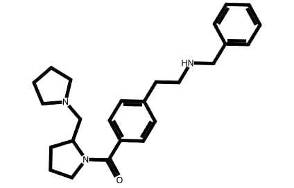 O=C(c1ccc(CCNCc2ccccc2)cc1)N1CCCC1CN1CCCC1